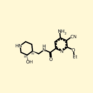 CCOc1nc(C(=O)NC[C@@H]2CCNC[C@H]2O)cc(N)c1C#N